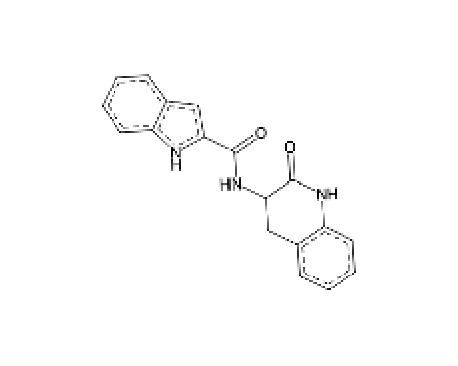 O=C(NC1Cc2ccccc2NC1=O)c1cc2ccccc2[nH]1